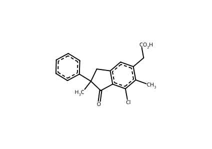 Cc1c(CC(=O)O)cc2c(c1Cl)C(=O)C(C)(c1ccccc1)C2